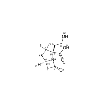 CC1(C)S[C@@H]2CC(=O)N2[C@@]1(CCO)C(=O)O